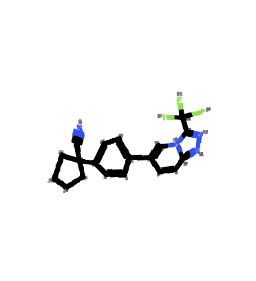 N#CC1(c2ccc(-c3ccc4nnc(C(F)(F)F)n4c3)cc2)CCCC1